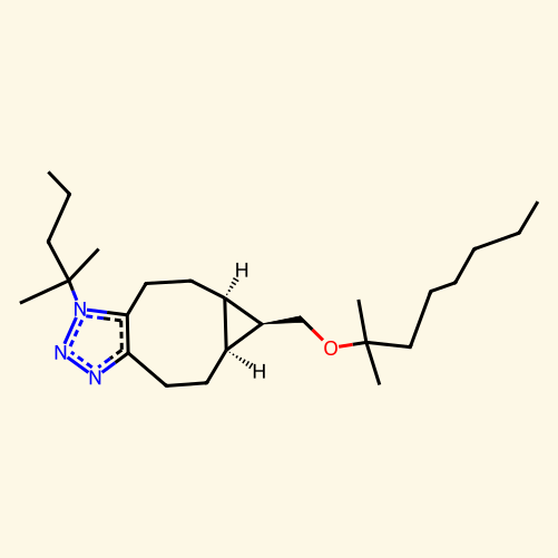 CCCCCCC(C)(C)OC[C@@H]1[C@@H]2CCc3c(nnn3C(C)(C)CCC)CC[C@@H]21